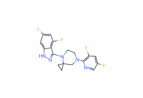 Fc1cnc(N2CCN(c3n[nH]c4cc(F)cc(F)c34)C3(CC3)C2)c(F)c1